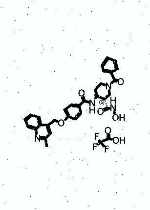 Cc1cc(COc2ccc(C(=O)N[C@@H]3CCN(C(=O)c4ccccc4)C[C@@H]3C(=O)NO)cc2)c2ccccc2n1.O=C(O)C(F)(F)F